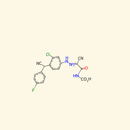 N#C/C(=N\Nc1ccc(C(C#N)c2ccc(F)cc2)c(Cl)c1)C(=O)NC(=O)O